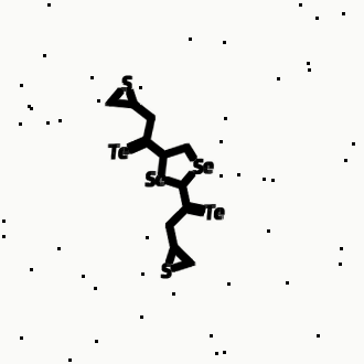 [Te]=C(CC1CS1)C1C[Se]C(C(=[Te])CC2CS2)[Se]1